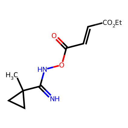 CCOC(=O)/C=C/C(=O)ONC(=N)C1(C)CC1